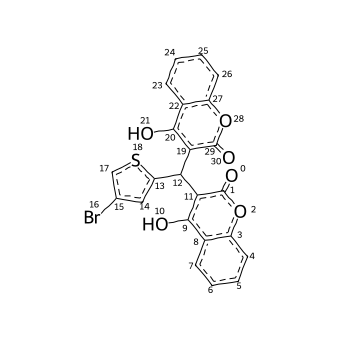 O=c1oc2ccccc2c(O)c1C(c1cc(Br)cs1)c1c(O)c2ccccc2oc1=O